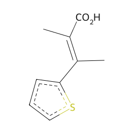 CC(C(=O)O)=C(C)c1cccs1